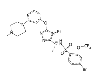 CCn1c(Oc2cccc(N3CCN(C)CC3)c2)nnc1[C@@H](C)NS(=O)(=O)c1ccc(Br)cc1OC(F)(F)F